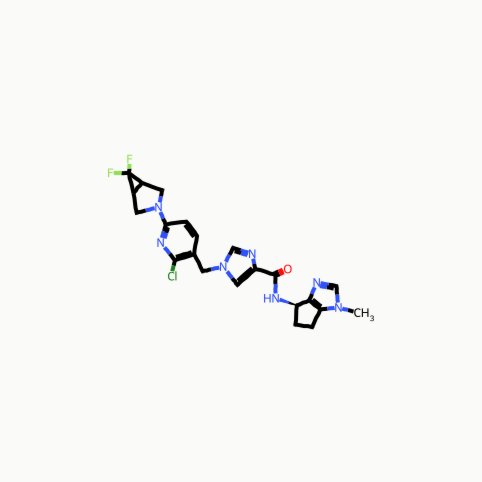 Cn1cnc2c1CC[C@H]2NC(=O)c1cn(Cc2ccc(N3CC4C(C3)C4(F)F)nc2Cl)cn1